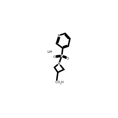 O=C(O)C1CN(S(=O)(=O)c2cccnc2)C1.[LiH]